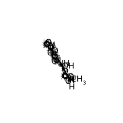 CNS(=O)(=O)c1cccc(OC[C@@H](O)CN[C@H]2COC3(CCN(S(=O)(=O)c4cnc5c(c4)CCCO5)CC3)C2)c1